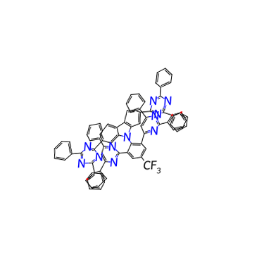 FC(F)(F)c1cc(-c2cc(-c3ccccc3)nc(-c3ccccc3)n2)c(-n2c3cc(-c4nc(-c5ccccc5)nc(-c5ccccc5)n4)ccc3c3ccc(-c4nc(-c5ccccc5)nc(-c5ccccc5)n4)cc32)c(-c2nc(-c3ccccc3)cc(-c3ccccc3)n2)c1